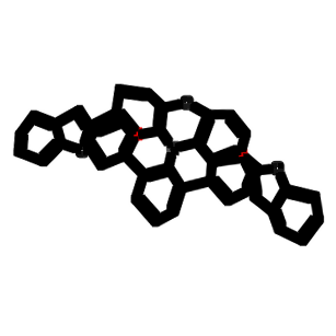 c1ccc(-c2cccc(-c3ccccc3)c2N2c3cc(-c4cc5ccccc5o4)ccc3Oc3ccc(-c4cc5ccccc5o4)cc32)cc1